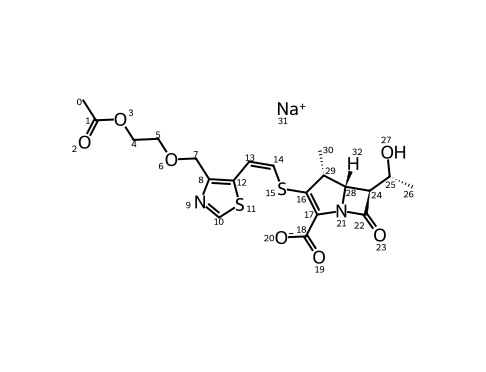 CC(=O)OCCOCc1ncsc1/C=C\SC1=C(C(=O)[O-])N2C(=O)[C@H]([C@@H](C)O)[C@H]2[C@H]1C.[Na+]